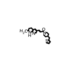 C=C1CCc2cc(/C=C/C(=O)N3CCC(Cc4cccs4)CC3)cnc2N1